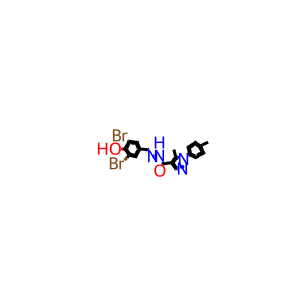 Cc1ccc(-n2ncc(C(=O)NN=Cc3cc(Br)c(O)c(Br)c3)c2C)cc1